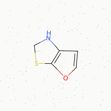 c1cc2c(o1)SCN2